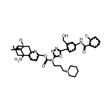 C/C=C1\[C@@H]2C=C(C)CC1(N)c1ccc(OC(=O)N(CCCN3CCCCC3)c3nnc(-c4ccc(NC(=O)c5ccccc5F)cc4CO)o3)nc1C2